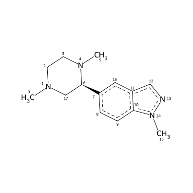 CN1CCN(C)[C@@H](c2ccc3c(cnn3C)c2)C1